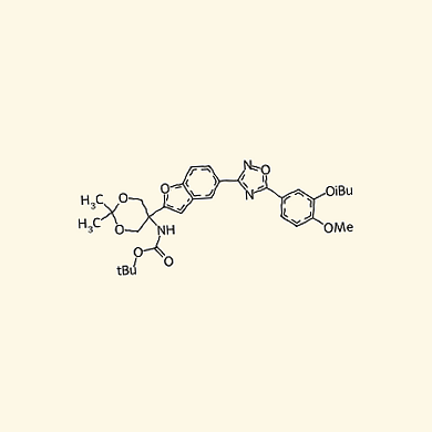 COc1ccc(-c2nc(-c3ccc4oc(C5(NC(=O)OC(C)(C)C)COC(C)(C)OC5)cc4c3)no2)cc1OCC(C)C